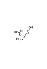 C=C(C)C(=O)O.CC(O)COCCOCCO